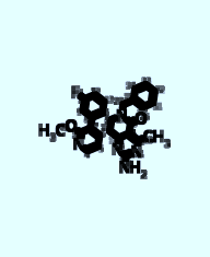 COc1ncccc1-c1cc(F)ccc1[C@H]1Cc2nc(N)nc(C)c2C(=O)N1Cc1ccccc1